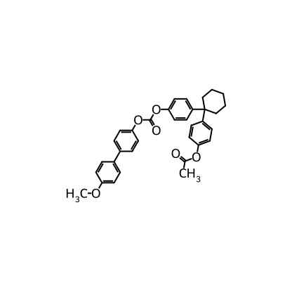 COc1ccc(-c2ccc(OC(=O)Oc3ccc(C4(c5ccc(OC(C)=O)cc5)CCCCC4)cc3)cc2)cc1